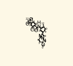 COc1ccc2nc(-c3ccc(C)c(NC(=O)c4ccc(S(C)(=O)=O)cc4Cl)c3)cn2n1